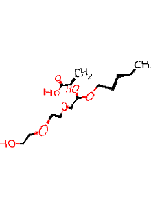 C=CC(=O)O.CCCCCOC(O)COCCOCCO